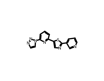 c1cncc(-c2ncc(-c3cccc(-n4ccnn4)n3)s2)c1